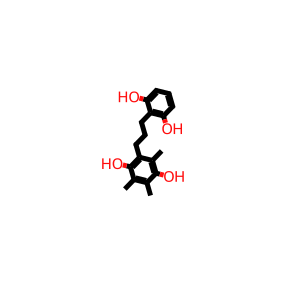 Cc1c(C)c(O)c(CCCc2c(O)cccc2O)c(C)c1O